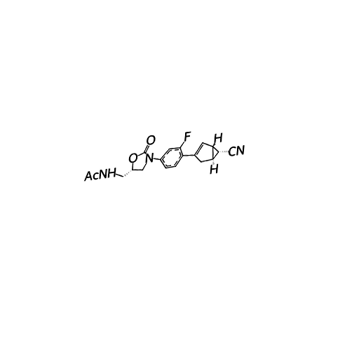 CC(=O)NC[C@H]1CN(c2ccc(C3=C[C@@H]4[C@H](C#N)[C@H]4C3)c(F)c2)C(=O)O1